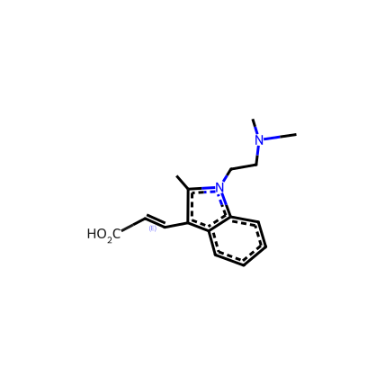 Cc1c(/C=C/C(=O)O)c2ccccc2n1CCN(C)C